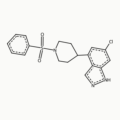 O=S(=O)(c1ccccc1)N1CCC(c2cc(Cl)cc3[nH]ncc23)CC1